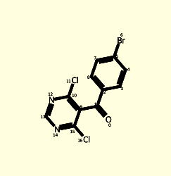 O=C(c1ccc(Br)cc1)c1c(Cl)ncnc1Cl